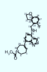 CC(=O)N1CCC=C(c2cnc(NCc3c(F)ccc4c3CCO4)n3cnnc23)CC1